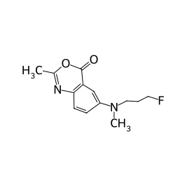 Cc1nc2ccc(N(C)CCCF)cc2c(=O)o1